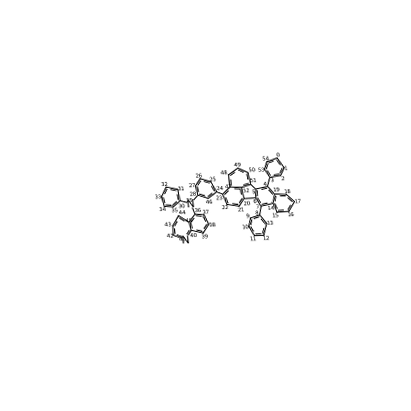 c1ccc(-c2c3c(c(-c4ccccc4)c4ccccc24)-c2ccc(-c4cccc(N(c5ccccc5)c5cccc6ncccc56)c4)c4cccc-3c24)cc1